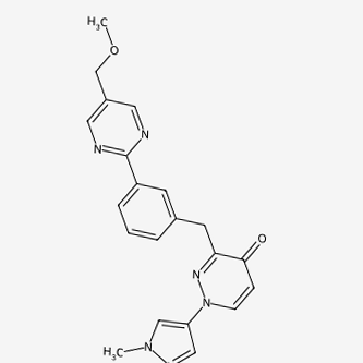 COCc1cnc(-c2cccc(Cc3nn(-c4cnn(C)c4)ccc3=O)c2)nc1